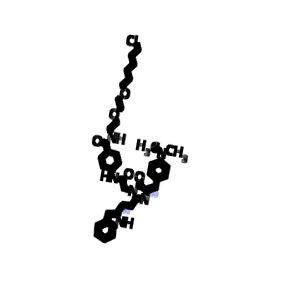 CN(C)c1ccc(/C=C2N=C(/C=C/c3cc4ccccc4[nH]3)N(CC(=O)NC3CCC(C(=O)NCCOCCOCCCCCCCl)CC3)C/2=O)cc1